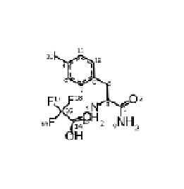 NC(=O)[C@@H](N)Cc1ccc(I)cc1.O=C(O)C(F)(F)F